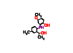 COc1ccc(O)c(Pc2ccc(C)cc2C(C)O)c1